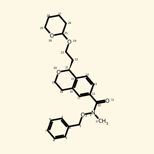 CN(OCc1ccccc1)C(=O)c1ccc2c(c1)CCO[C@H]2CCOC1CCCCO1